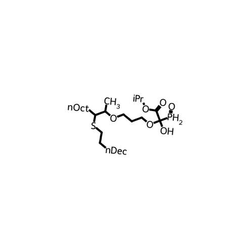 CCCCCCCCCCCCSC(CCCCCCCC)C(C)OCCCOC(O)([PH2]=O)C(=O)OC(C)C